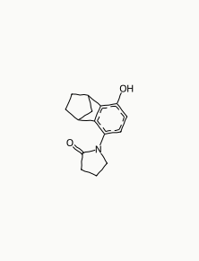 O=C1CCCN1c1ccc(O)c2c1C1CCC2C1